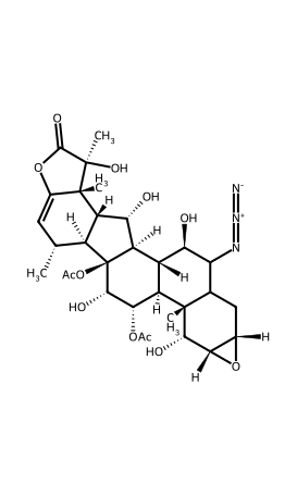 CC(=O)O[C@H]1[C@H]2[C@H]([C@@H]3[C@@H](O)[C@@H]4[C@H]([C@H](C)C=C5OC(=O)[C@@](C)(O)[C@@]54C)[C@@]3(OC(C)=O)[C@H]1O)[C@@H](O)C(N=[N+]=[N-])C1C[C@@H]3O[C@@H]3[C@H](O)[C@@]12C